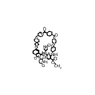 CCOC(=O)c1cnc(Nc2cnn(C)c2)nc1NC1CCC(N2CCN(C(=O)C3CCC(C(=O)N4CCC(CN5CCC6(CC5)CN(c5ccc7c(c5)C(=O)N(C5CCC(=O)NC5=O)C7=O)C6)CC4)CC3)CC2)CC1